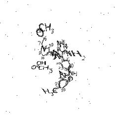 CC(=O)O.COCCN1CCC(n2nc(-c3ccc(Nc4nc5cc(C)ccc5o4)cc3)c3c(N)ncnc32)C1